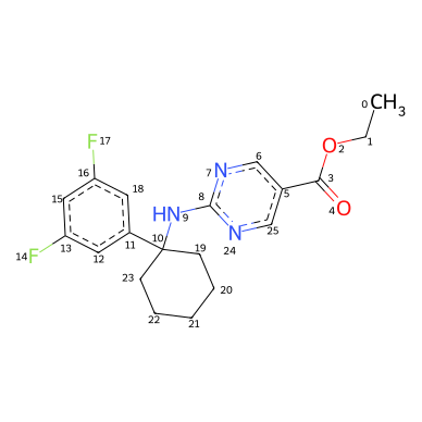 CCOC(=O)c1cnc(NC2(c3cc(F)cc(F)c3)CCCCC2)nc1